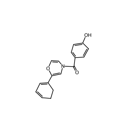 O=C(c1ccc(O)cc1)N1C=COC(C2=CC=CCC2)=C1